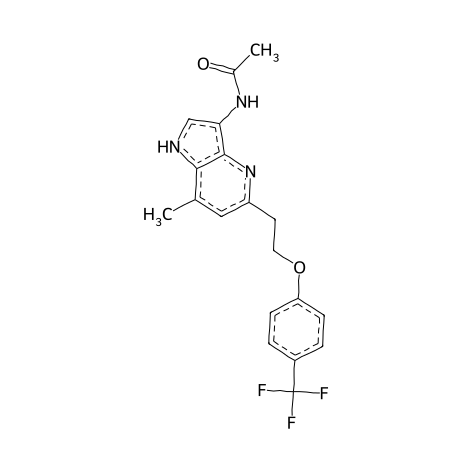 CC(=O)Nc1c[nH]c2c(C)cc(CCOc3ccc(C(F)(F)F)cc3)nc12